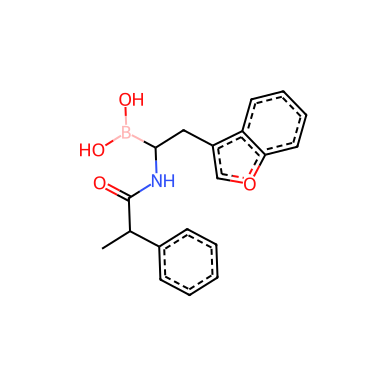 CC(C(=O)NC(Cc1coc2ccccc12)B(O)O)c1ccccc1